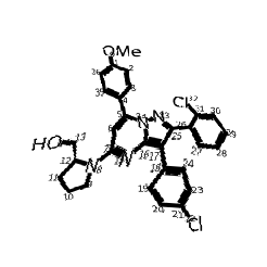 COc1ccc(-c2cc(N3CCC[C@H]3CO)nc3c(-c4ccc(Cl)cc4)c(-c4ccccc4Cl)nn23)cc1